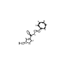 O=C(COOc1c[c]ccc1)N1CC[C@H](O)C1